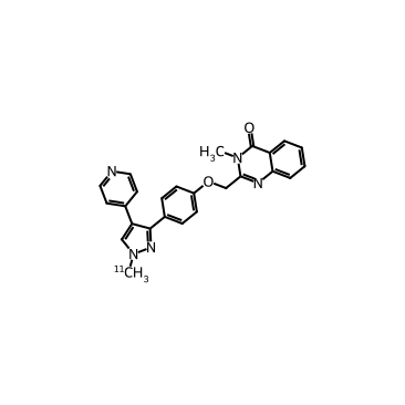 Cn1c(COc2ccc(-c3nn([11CH3])cc3-c3ccncc3)cc2)nc2ccccc2c1=O